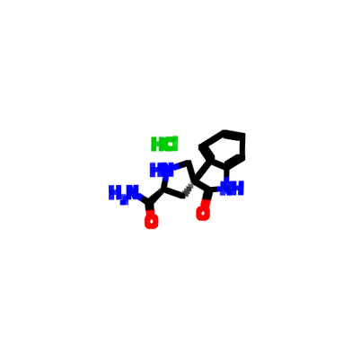 Cl.NC(=O)[C@@H]1C[C@@]2(CN1)C(=O)Nc1ccccc12